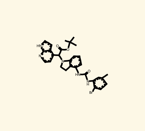 Cc1ccc(Br)c(NC(=O)Nc2cccc3c2CCN3C(C(=O)OC(C)(C)C)c2ccnc3[nH]ccc23)c1